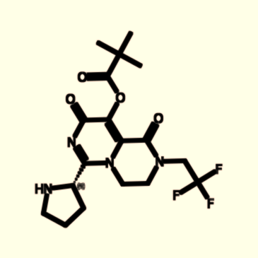 CC(C)(C)C(=O)Oc1c2n(c([C@@H]3CCCN3)nc1=O)CCN(CC(F)(F)F)C2=O